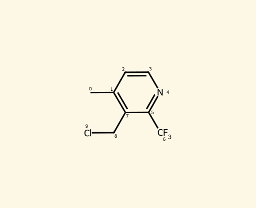 Cc1ccnc(C(F)(F)F)c1CCl